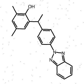 Cc1cc(C)c(O)c(C(C)c2ccc(-n3nc4ccccc4n3)cc2)c1